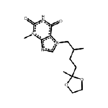 CC(CCC1(C)OCCO1)Cn1cnc2c1c(=O)[nH]c(=O)n2C